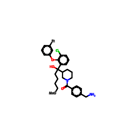 CCc1cccc(Oc2c(Cl)cccc2C(O)(CCCCOC)C2CCCN(C(=O)c3ccc(CN)cc3)C2)c1